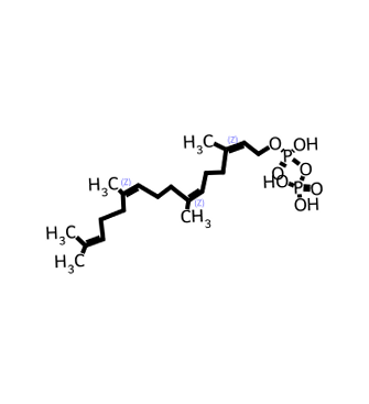 CC(C)=CCC/C(C)=C\CC/C(C)=C\CC/C(C)=C\COP(=O)(O)OP(=O)(O)O